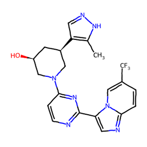 Cc1[nH]ncc1[C@@H]1C[C@H](O)CN(c2ccnc(-c3cnc4ccc(C(F)(F)F)cn34)n2)C1